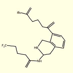 C=C(CCCC(F)(F)F)NC1BCc2c(cccc2C(=C)CCCC(=C)C(C)CC)C1